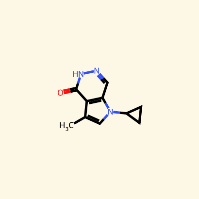 Cc1cn(C2CC2)c2cn[nH]c(=O)c12